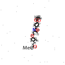 COC(=O)CCc1ccc(OCCc2nc(-c3ccc(B4OC(C)(C)C(C)(C)O4)cc3)oc2C)cc1C